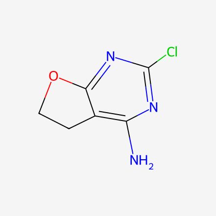 Nc1nc(Cl)nc2c1CCO2